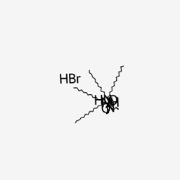 Br.C=CCN(CC=C)C(C)(C(=O)NC(CCCCCCCCCCCC)CCCCCCCCCCCCC)C(=O)NC(CCCCCCCCCCCC)CCCCCCCCCCCCC